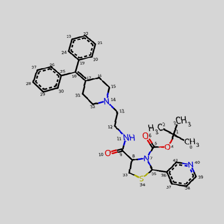 CC(C)(C)OC(=O)N1C(C(=O)NCCN2CCC(=C(c3ccccc3)c3ccccc3)CC2)CSC1c1cccnc1